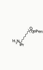 CCCCCOC(=O)C(C)(C)CCCCCCCCC(N)C(C)C